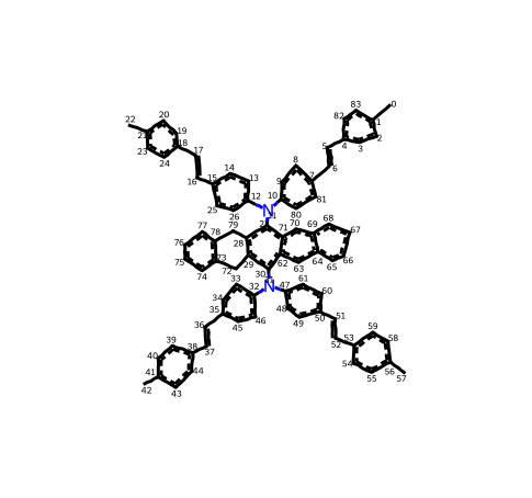 Cc1ccc(/C=C/c2ccc(N(c3ccc(/C=C/c4ccc(C)cc4)cc3)c3c4c(c(N(c5ccc(/C=C/c6ccc(C)cc6)cc5)c5ccc(/C=C/c6ccc(C)cc6)cc5)c5cc6ccccc6cc35)Cc3ccccc3C4)cc2)cc1